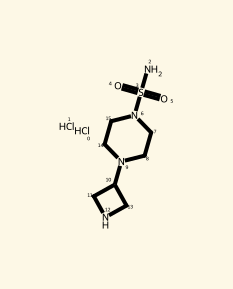 Cl.Cl.NS(=O)(=O)N1CCN(C2CNC2)CC1